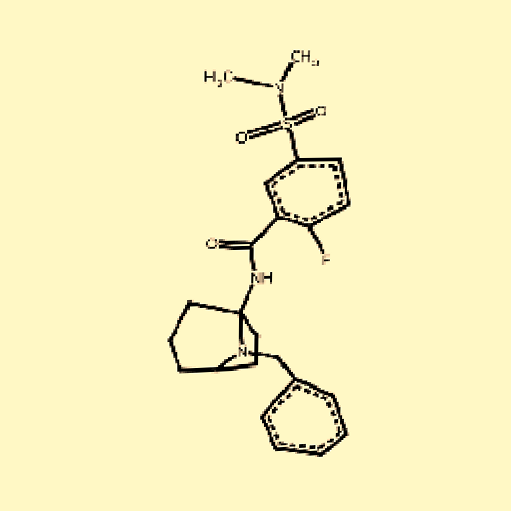 CN(C)S(=O)(=O)c1ccc(F)c(C(=O)NC23CCCC(CC2)N3Cc2ccccc2)c1